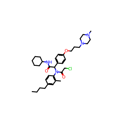 CCCCc1ccc(N(C(=O)CCl)C(C(=O)NC2CCCCC2)c2ccc(OCCCN3CCN(C)CC3)cc2)c(C)c1